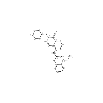 CCOc1ccccc1CC(=O)Nc1cccc2c(=O)n(CC3CCOCC3)ccc12